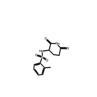 Cc1ccccc1S(=O)(=O)NC1CCC(=O)NC1=O